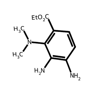 CCOC(=O)c1ccc(N)c(N)c1N(C)C